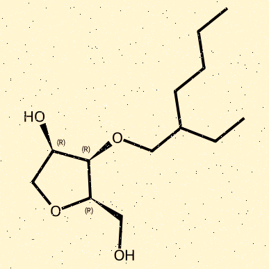 CCCCC(CC)CO[C@@H]1[C@H](O)CO[C@@H]1CO